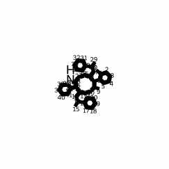 Cc1ccccc1-c1c(C)cc/c(=C\C(C)c2ccccc2)c2c(cc/c1=C\C(C)c1ccccc1)[nH]c1ccccc12